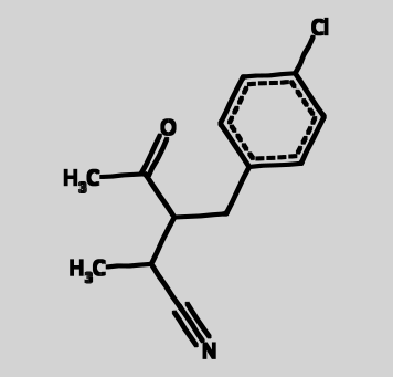 CC(=O)C(Cc1ccc(Cl)cc1)C(C)C#N